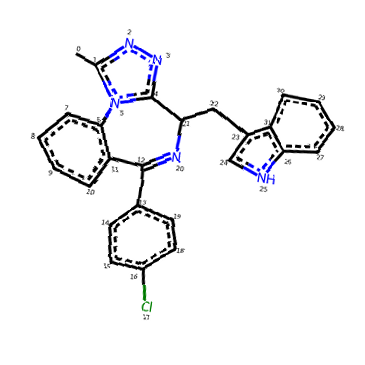 Cc1nnc2n1-c1ccccc1C(c1ccc(Cl)cc1)=NC2Cc1c[nH]c2ccccc12